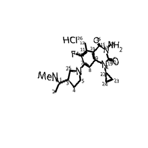 CN[C@@H](C)[C@@H]1CCN(c2cc3c(c(C)c2F)c(=O)n(N)c(=O)n3C2CC2)C1.Cl